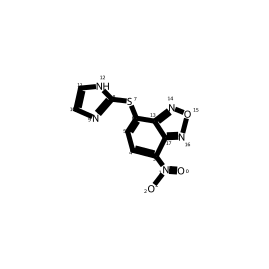 O=[N+]([O-])c1ccc(Sc2ncc[nH]2)c2nonc12